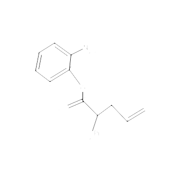 C=CCC(CCC)C(=O)Oc1ccccc1N